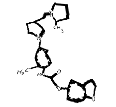 Cc1cc(N2CCC(CN3CCCC3C)C2)ccc1NC(=O)Oc1ccc2c(c1)CCO2